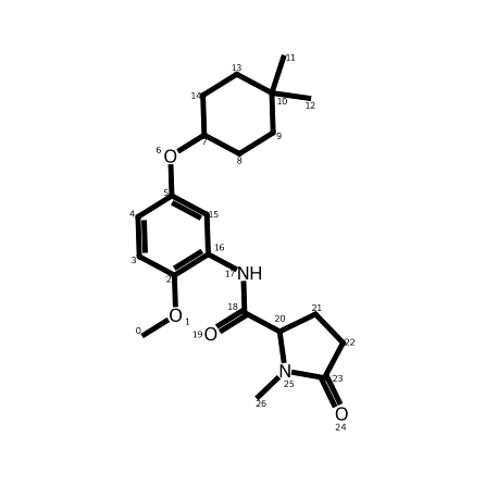 COc1ccc(OC2CCC(C)(C)CC2)cc1NC(=O)C1CCC(=O)N1C